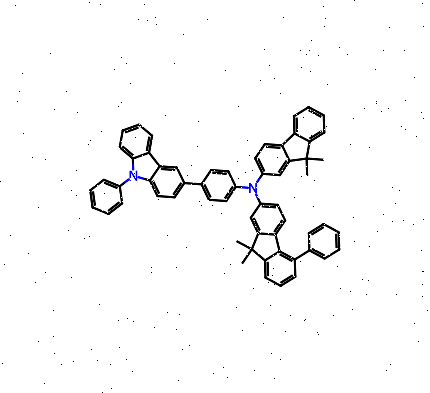 CC1(C)c2ccccc2-c2ccc(N(c3ccc(-c4ccc5c(c4)c4ccccc4n5-c4ccccc4)cc3)c3ccc4c(c3)C(C)(C)c3cccc(-c5ccccc5)c3-4)cc21